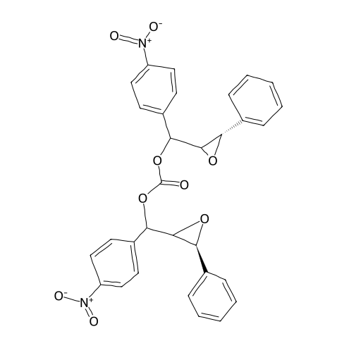 O=C(OC(c1ccc([N+](=O)[O-])cc1)C1O[C@H]1c1ccccc1)OC(c1ccc([N+](=O)[O-])cc1)C1O[C@H]1c1ccccc1